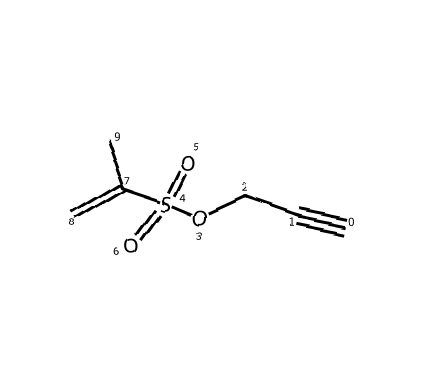 C#CCOS(=O)(=O)C(=C)C